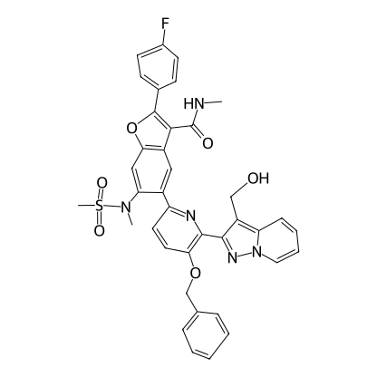 CNC(=O)c1c(-c2ccc(F)cc2)oc2cc(N(C)S(C)(=O)=O)c(-c3ccc(OCc4ccccc4)c(-c4nn5ccccc5c4CO)n3)cc12